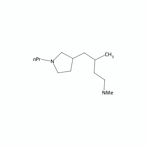 CCCN1CCC(CC(C)CCNC)C1